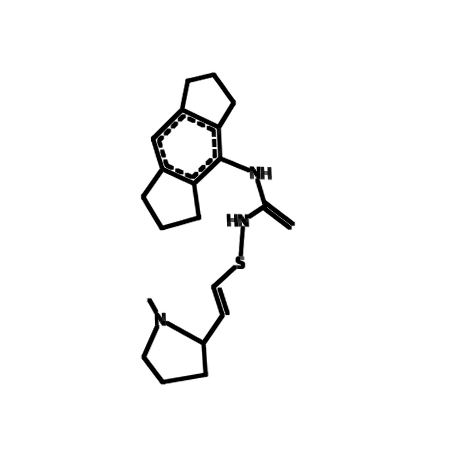 C=C(NS/C=C/C1CCCN1C)Nc1c2c(cc3c1CCC3)CCC2